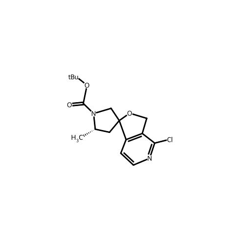 C[C@H]1CC2(CN1C(=O)OC(C)(C)C)OCc1c2ccnc1Cl